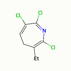 CCC1=C(Cl)N=C(Cl)C(Cl)=CC1